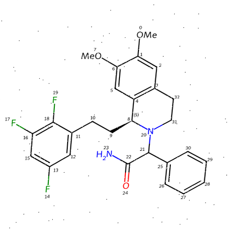 COc1cc2c(cc1OC)[C@H](CCc1cc(F)cc(F)c1F)N(C(C(N)=O)c1ccccc1)CC2